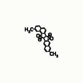 Cc1ccc2cc3c(cc2c1)S(=O)(=O)C1c2ccc4ccc(C)cc4c2S(=O)(=O)C31